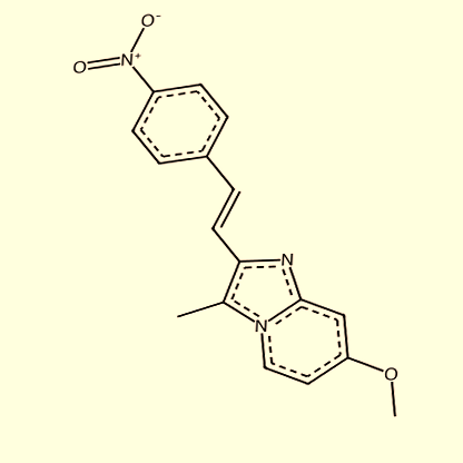 COc1ccn2c(C)c(C=Cc3ccc([N+](=O)[O-])cc3)nc2c1